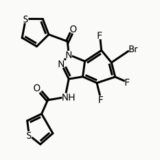 O=C(Nc1nn(C(=O)c2ccsc2)c2c(F)c(Br)c(F)c(F)c12)c1ccsc1